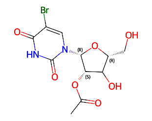 CC(=O)O[C@H]1C(O)[C@@H](CO)O[C@H]1n1cc(Br)c(=O)[nH]c1=O